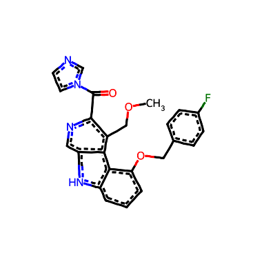 COCc1c(C(=O)n2ccnc2)ncc2[nH]c3cccc(OCc4ccc(F)cc4)c3c12